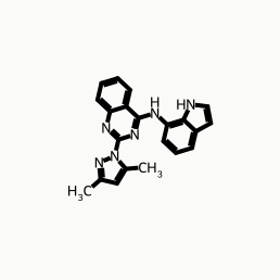 Cc1cc(C)n(-c2nc(Nc3cccc4cc[nH]c34)c3ccccc3n2)n1